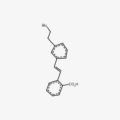 CCC(C)CCc1cccc(/C=C/c2ccccc2C(=O)O)c1